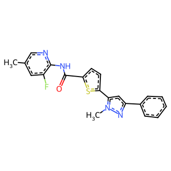 Cc1cnc(NC(=O)c2ccc(-c3cc(-c4ccccc4)nn3C)s2)c(F)c1